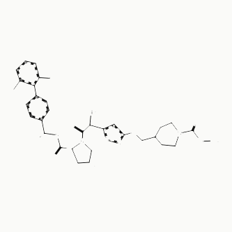 CC(C)C(C(=O)N1C[C@H](O)C[C@H]1C(=O)N[C@@H](C)c1ccc(-c2c(F)cccc2F)cc1)c1cc(OCC2CCN(C(=O)OC(C)(C)C)CC2)no1